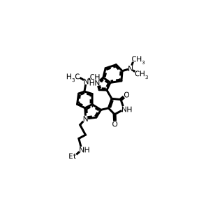 CCNCCCn1cc(C2=C(c3c[nH]c4ccc(N(C)C)cc34)C(=O)NC2=O)c2cc(N(C)C)ccc21